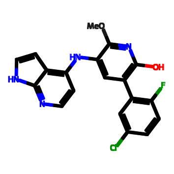 COc1nc(O)c(-c2cc(Cl)ccc2F)cc1Nc1ccnc2[nH]ccc12